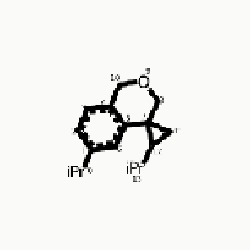 CC(C)c1ccc2c(c1)C1(COC2)CC1C(C)C